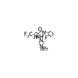 CCCN1CCN(CCN(Cc2ccccc2F)C(=O)c2cc(C(F)(F)F)n[nH]2)CC1